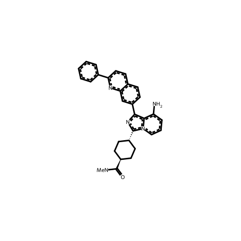 CNC(=O)[C@H]1CC[C@H](c2nc(-c3ccc4ccc(-c5ccccc5)nc4c3)c3c(N)cccn32)CC1